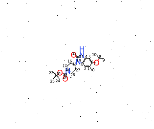 Cc1cc2c(cc1OC(C)C)[nH]c(=O)n2C1CCN(C(=O)OC(C)(C)C)CC1